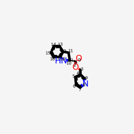 O=C(OCc1cccnc1)[C@@H]1Cc2ccccc2N1